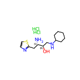 Cl.Cl.N[C@@H](Cc1nccs1)[C@H](O)CNC1CCCCC1